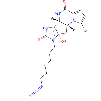 [N-]=[N+]=NCCCCCCN1C(=O)N[C@H]2[C@@H]3NC(=O)c4ccc(Br)n4[C@@H]3C[C@]21O